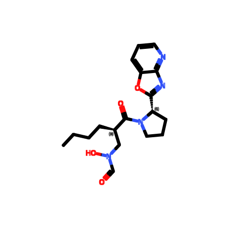 CCCC[C@H](CN(O)C=O)C(=O)N1CCC[C@H]1c1nc2ncccc2o1